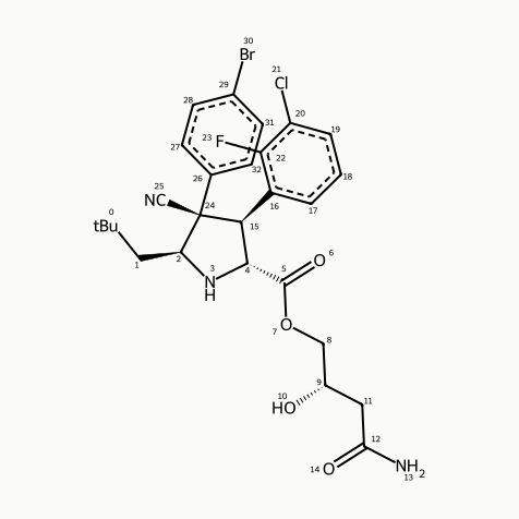 CC(C)(C)C[C@@H]1N[C@@H](C(=O)OC[C@@H](O)CC(N)=O)[C@H](c2cccc(Cl)c2F)[C@@]1(C#N)c1ccc(Br)cc1